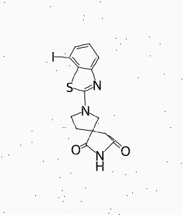 O=C1CC2(CCN(c3nc4cccc(I)c4s3)C2)C(=O)N1